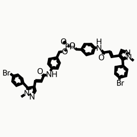 Cn1ncc(/C=C/C(=O)Nc2ccc(CO[PH](=O)OCc3ccc(NC(=O)/C=C/c4cnn(C)c4-c4ccc(Br)cc4)cc3)cc2)c1-c1ccc(Br)cc1